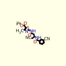 Cc1nc(NC(=O)CC(CC#N)NC(=O)c2cccc(C#N)c2)sc1C(=O)OC(C)C